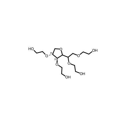 OCCOCC(OCCO)C1OC[C@@H](OCCO)[C@@H]1OCCO